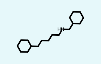 C(CCNCC1CCCCC1)CCC1CCCCC1